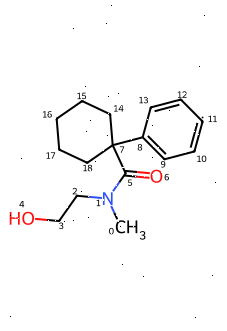 CN(CCO)C(=O)C1(c2cc[c]cc2)CCCCC1